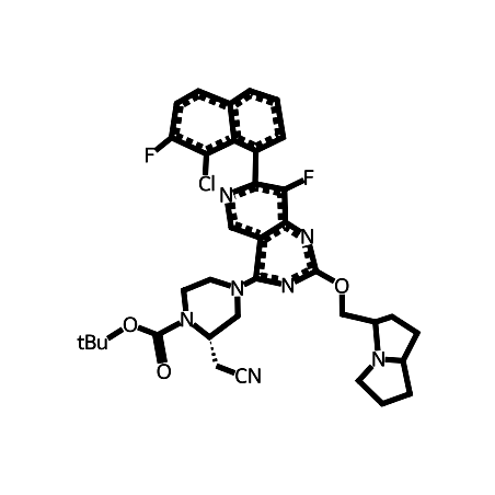 CC(C)(C)OC(=O)N1CCN(c2nc(OCC3CCC4CCCN43)nc3c(F)c(-c4cccc5ccc(F)c(Cl)c45)ncc23)C[C@@H]1CC#N